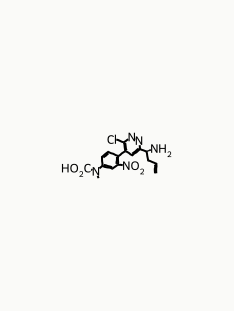 C=CC[C@H](N)c1cc(-c2ccc(N(C)C(=O)O)cc2[N+](=O)[O-])c(Cl)nn1